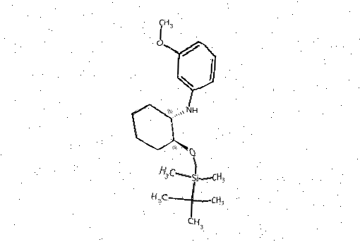 COc1cccc(N[C@H]2CCCC[C@@H]2O[Si](C)(C)C(C)(C)C)c1